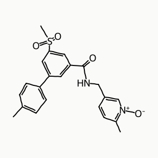 Cc1ccc(-c2cc(C(=O)NCc3ccc(C)[n+]([O-])c3)cc(S(C)(=O)=O)c2)cc1